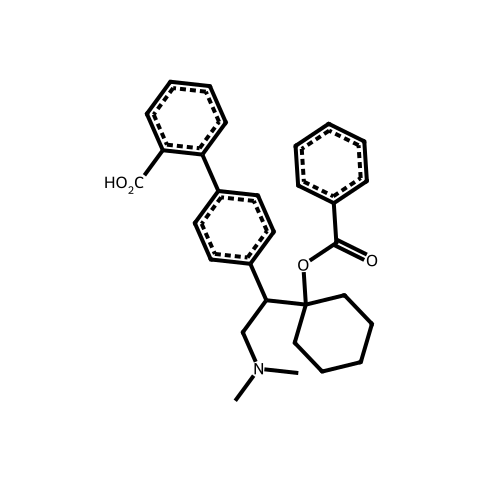 CN(C)CC(c1ccc(-c2ccccc2C(=O)O)cc1)C1(OC(=O)c2ccccc2)CCCCC1